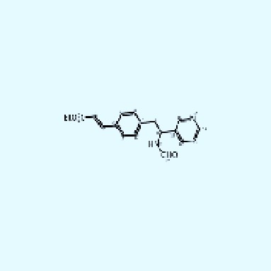 CCOC(=O)/C=C/c1ccc(CC(NC=O)c2cccnc2)cc1